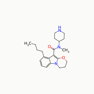 CCCCc1cccc2c1c(C(=O)N(C)C1CCNCC1)c1n2CCCO1